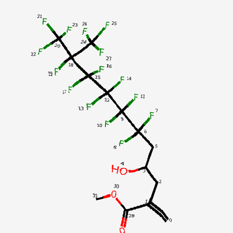 C=C(CC(O)CC(F)(F)C(F)(F)C(F)(F)C(F)(F)C(F)(C(F)(F)F)C(F)(F)F)C(=O)OC